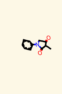 CC1C(=O)CN(c2ccccc2)C1=O